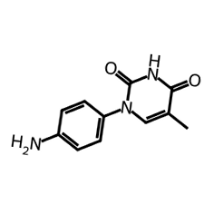 Cc1cn(-c2ccc(N)cc2)c(=O)[nH]c1=O